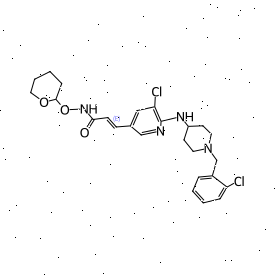 O=C(/C=C/c1cnc(NC2CCN(Cc3ccccc3Cl)CC2)c(Cl)c1)NOC1CCCCO1